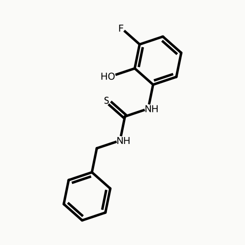 Oc1c(F)cccc1NC(=S)NCc1ccccc1